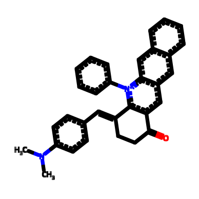 CN(C)c1ccc(C=C2CCC(=O)c3cc4cc5ccccc5cc4[n+](-c4ccccc4)c32)cc1